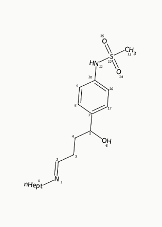 CCCCCCCN=CCCC(O)c1ccc(NS(C)(=O)=O)cc1